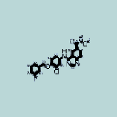 CON(C)C(=O)c1ccc2ncnc(Nc3ccc(OCc4cccc(F)c4)c(Cl)c3)c2c1